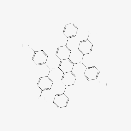 Cc1ccc(N(c2ccc(C)cc2)c2c3c(c(N(c4ccc(C)cc4)c4ccc(C)cc4)c4cc(-c5ccccc5)ccc24)=CCC(c2ccccc2)C=3)cc1